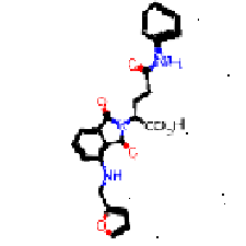 O=C(CCC(C(=O)O)N1C(=O)c2cccc(NCc3ccco3)c2C1=O)Nc1ccccc1